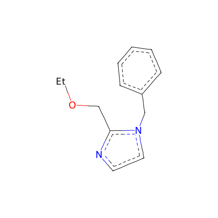 CCOCc1nccn1Cc1ccccc1